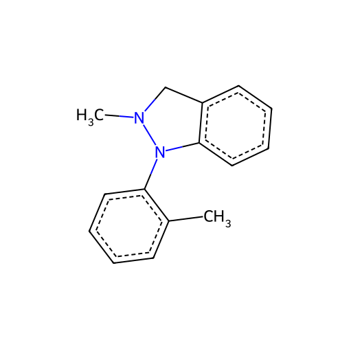 Cc1ccccc1N1c2ccccc2CN1C